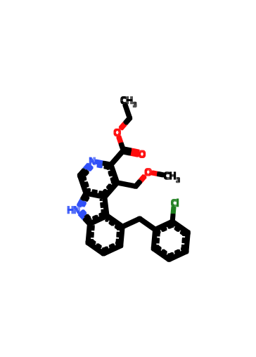 CCOC(=O)c1ncc2[nH]c3cccc(Cc4ccccc4Cl)c3c2c1COC